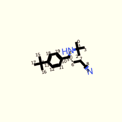 CC(C)(C)N[C@H](CCC#N)c1ccc(C(C)(C)C)cc1